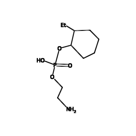 CCC1CCCCC1OP(=O)(O)OCCN